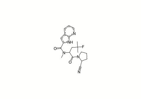 CN(C(=O)c1cc2cccnc2[nH]1)C(CC(C)(C)F)C(=O)N1CCCC1C#N